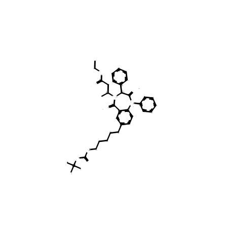 CCOC(=O)CC(C)N1C(=O)c2cc(CCCCCNC(=O)OC(C)(C)C)ccc2N(c2ccccc2)C(=O)C1c1ccccc1